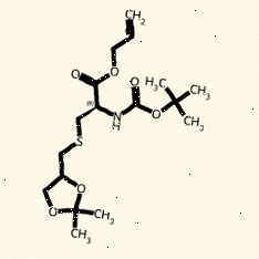 C=CCOC(=O)[C@H](CSCC1COC(C)(C)O1)NC(=O)OC(C)(C)C